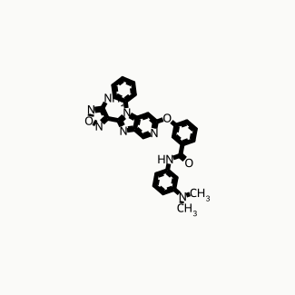 CN(C)c1cccc(NC(=O)c2cccc(Oc3cc4c(cn3)nc(-c3nonc3N)n4-c3ccccc3)c2)c1